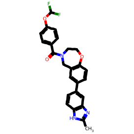 Cc1nc2cc(-c3ccc4c(c3)CN(C(=O)c3ccc(OC(F)F)cc3)CCO4)ccc2[nH]1